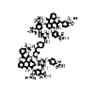 O=C(c1cccc(S(=O)(=O)O)c1)c1c2c3c(c(Nc4cc(Nc5nc(NC6CCC(CC7CCC(Nc8nc(Nc9cc(Nc%10ccc%11[nH]c(=O)c(C(=O)c%12cccc(S(=O)(=O)O)c%12)c%12c%11c%10C(=O)c%10ccccc%10-%12)c(S(=O)(=O)O)cc9S(=O)(=O)O)nc(Oc9ccc(S(=O)(=O)O)cc9)n8)CC7)CC6)nc(Oc6ccc(S(=O)(=O)O)cc6)n5)c(S(=O)(=O)O)cc4S(=O)(=O)O)ccc3[nH]c1=O)C(=O)c1ccccc1-2